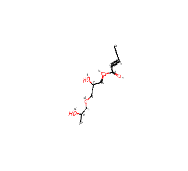 CC=CC(=O)OCC(O)COCC(C)O